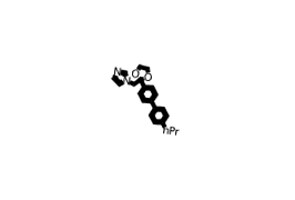 CCCc1ccc(-c2ccc(C3(Cn4ccnc4)OCCO3)cc2)cc1